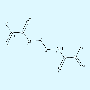 C=C(C)C(=O)NCCOC(=O)C(=C)C